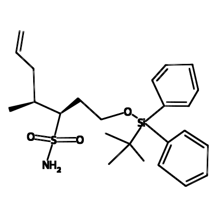 C=CC[C@H](C)[C@@H](CCO[Si](c1ccccc1)(c1ccccc1)C(C)(C)C)S(N)(=O)=O